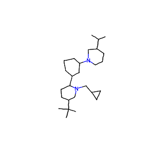 CC(C)C1CCCN(C2CCCC(C3CCC(C(C)(C)C)CN3CC3CC3)C2)C1